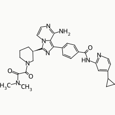 CN(C)C(=O)C(=O)N1CCC[C@@H](c2nc(-c3ccc(C(=O)Nc4cc(C5CC5)ccn4)cc3)c3c(N)nccn23)C1